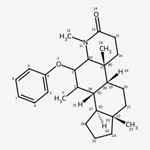 CC1C(Oc2ccccc2)C2N(C)C(=O)CC[C@]2(C)[C@@H]2CC[C@]3(C)CCC[C@H]3[C@H]12